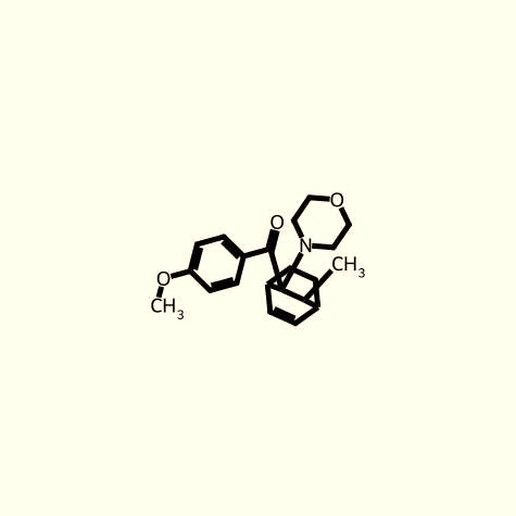 COc1ccc(C(=O)C2(N3CCOCC3)C3C=CC(CC3)C2C)cc1